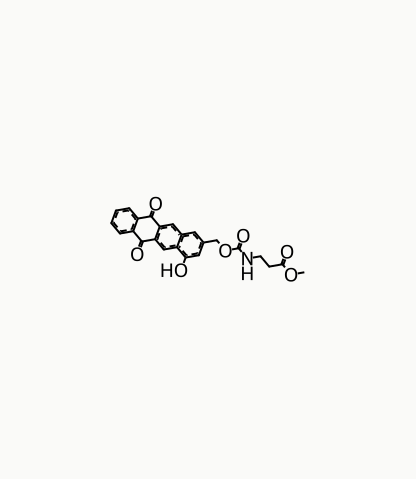 COC(=O)CCNC(=O)OCc1cc(O)c2cc3c(cc2c1)C(=O)c1ccccc1C3=O